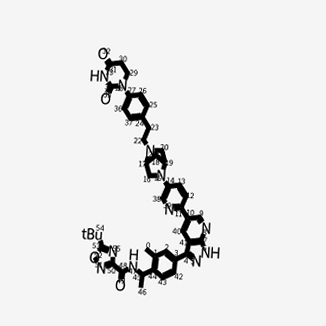 Cc1cc(-c2n[nH]c3ncc(-c4ccc(N5CC6CC5CN6CCc5ccc(N6CCC(=O)NC6=O)cc5)cn4)cc23)ccc1C(C)NC(=O)c1noc(C(C)(C)C)n1